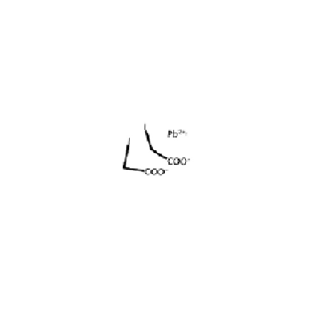 O=C([O-])CI.O=C([O-])CI.[Pb+2]